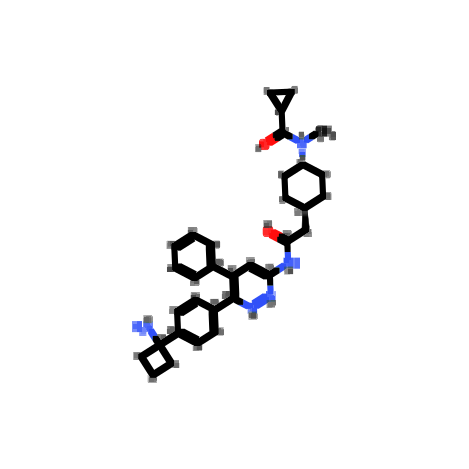 CN(C(=O)C1CC1)[C@H]1CC[C@H](CC(=O)Nc2cc(-c3ccccc3)c(-c3ccc(C4(N)CCC4)cc3)nn2)CC1